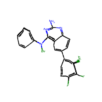 Nc1nc(N(Br)c2ccccc2)c2cc(-c3ccc(F)c(F)c3F)ccc2n1